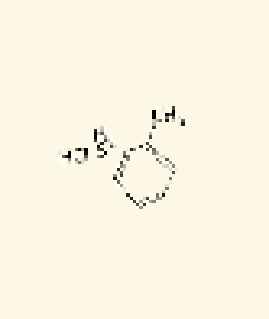 Cc1ccccc1.Cl.S